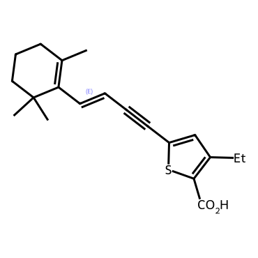 CCc1cc(C#C/C=C/C2=C(C)CCCC2(C)C)sc1C(=O)O